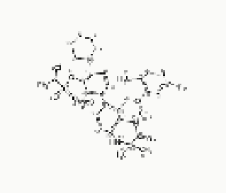 CCC(Cl)S(=O)(=O)Oc1c(N2CCCCC2)ccc(-c2ccc3c(c2COc2cc(F)ccc2C)N(C)C(=O)C(C)(C)N3)c1OC